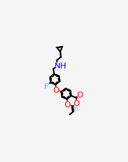 C/C=C1/OC(=O)c2ccc(Oc3ccc(CNCCC4CC4)cc3F)cc2O1